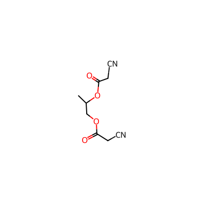 CC(COC(=O)CC#N)OC(=O)CC#N